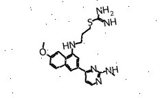 CNc1nccc(-c2cc(NCCCSC(=N)N)c3cc(OC)ccc3c2)n1